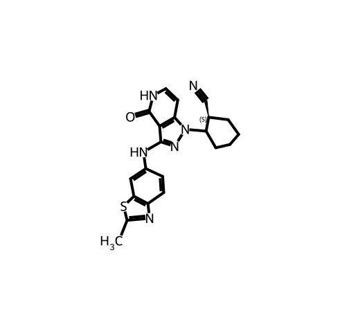 Cc1nc2ccc(Nc3nn(C4CCCC[C@@H]4C#N)c4cc[nH]c(=O)c34)cc2s1